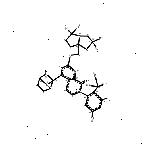 [2H]C1([2H])CC[C@@]2(COc3nc(N4CC5CCC4CN5)c4ccn(-c5cc(O)cc(Cl)c5C(F)(F)F)c(=O)c4n3)C[C@@]([2H])(F)CN12